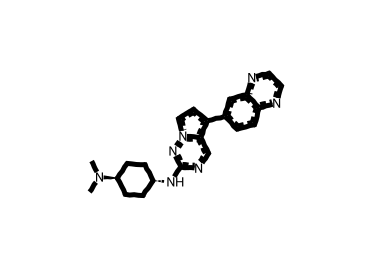 CN(C)[C@H]1CC[C@H](Nc2ncc3c(-c4ccc5nccnc5c4)ccn3n2)CC1